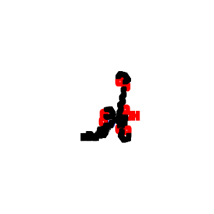 CCCC[C@H]1CC[C@H]([C@@H](/C=C/[C@@H]2[C@@H](CC(=O)CCCCCOC3CCCCO3)[C@@H](O)C[C@H]2OC2CCCCO2)OC2CCCCO2)C1